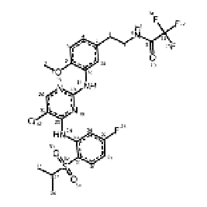 COc1ccc(CCNC(=O)C(F)(F)F)cc1Nc1ncc(Cl)c(Nc2cc(F)ccc2S(=O)(=O)C(C)C)n1